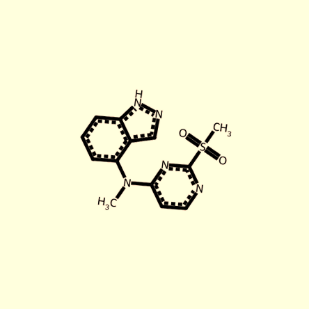 CN(c1ccnc(S(C)(=O)=O)n1)c1cccc2[nH]ncc12